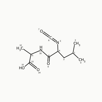 CC(C)CC(N=C=O)C(=O)NC(C)C(=O)O